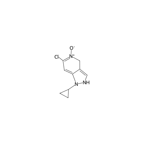 [O-][N+]1=C(Cl)C=C2C(=CNN2C2CC2)C1